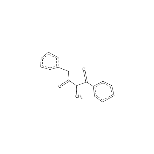 CC(C(=O)Cc1ccccc1)C(=O)c1ccccc1